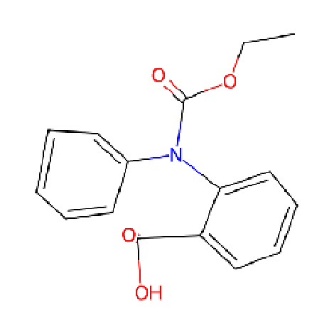 CCOC(=O)N(c1ccccc1)c1ccccc1C(=O)O